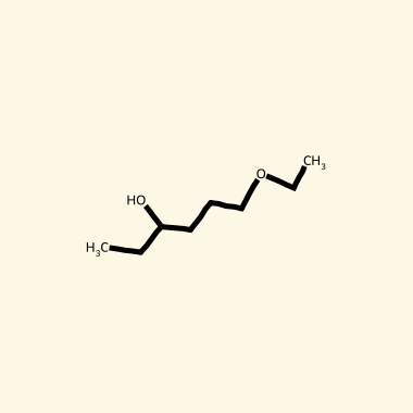 CCOCCCC(O)CC